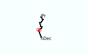 CCCCCCCCCCCCCCCCCC(=O)OCCC(C)CCCC(C)CCCC(C)CCCC(C)C